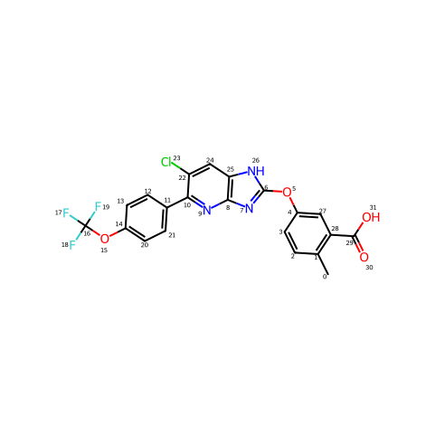 Cc1ccc(Oc2nc3nc(-c4ccc(OC(F)(F)F)cc4)c(Cl)cc3[nH]2)cc1C(=O)O